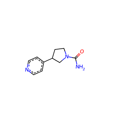 NC(=O)N1CCC(c2ccncc2)C1